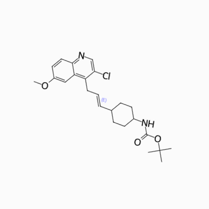 COc1ccc2ncc(Cl)c(C/C=C/C3CCC(NC(=O)OC(C)(C)C)CC3)c2c1